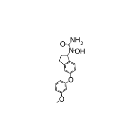 COc1cccc(Oc2ccc3c(c2)CCC3N(O)C(N)=O)c1